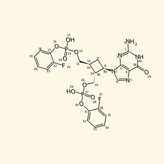 Nc1nc2c(ncn2[C@@H]2C[C@H](COP(=O)(O)Oc3ccccc3F)[C@H]2COP(=O)(O)Oc2ccccc2F)c(=O)[nH]1